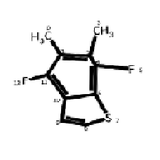 Cc1c(C)c(F)c2sccc2c1F